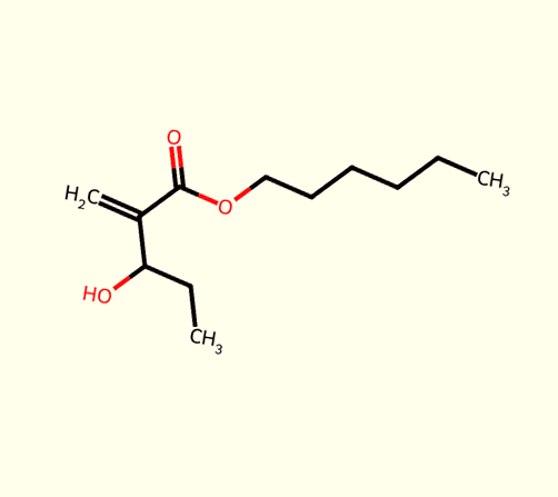 C=C(C(=O)OCCCCCC)C(O)CC